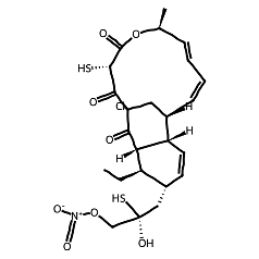 CC[C@H]1[C@@H]2C(=O)C3(Cl)C[C@H](/C=C\C=C\[C@H](C)OC(=O)[C@@H](S)C3=O)[C@@H]2C=C[C@@H]1C[C@](O)(S)CO[N+](=O)[O-]